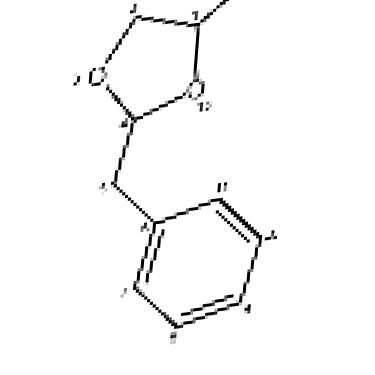 CC1COC(Cc2ccccc2)O1